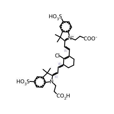 CC1(C)C(/C=C/C2=C(Cl)C(=C/C=C3/N(CCC(=O)O)c4ccc(S(=O)(=O)O)cc4C3(C)C)/CCC2)=[N+](CCC(=O)[O-])c2ccc(S(=O)(=O)O)cc21